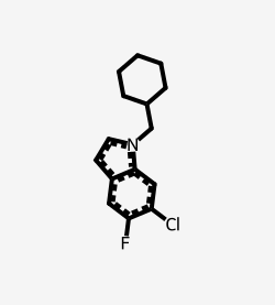 Fc1cc2ccn(CC3CCCCC3)c2cc1Cl